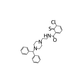 O=C(NCCN1CCN(C(c2ccccc2)c2ccccc2)CC1)C1=CC=CC(Cl)C1=S